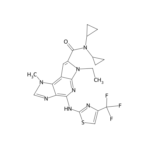 CCn1c(C(=O)N(C2CC2)C2CC2)cc2c3c(ncn3C)c(Nc3nc(C(F)(F)F)cs3)nc21